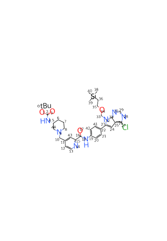 CC(C)(C)OC(=O)N[C@@H]1CCCN(Cc2ccnc(C(=O)Nc3ccc(-c4cc5c(Cl)ncnc5n4COCC[Si](C)(C)C)cc3)c2)C1